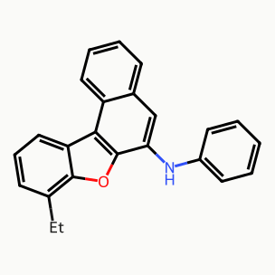 CCc1cccc2c1oc1c(Nc3ccccc3)cc3ccccc3c12